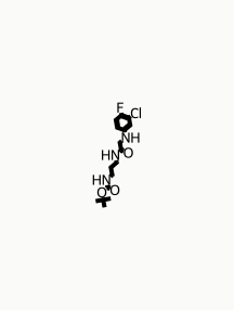 CC(C)(C)OC(=O)NCCCNC(=O)CNc1ccc(F)c(Cl)c1